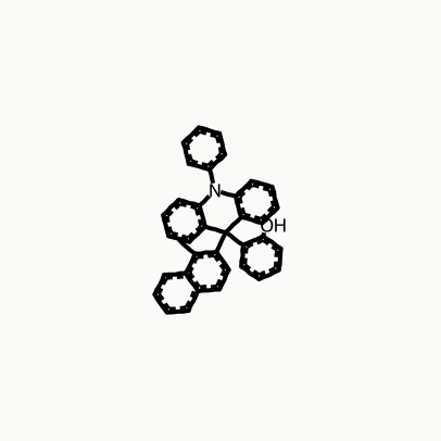 Cc1c(C2(c3ccccc3O)c3ccccc3N(c3ccccc3)c3ccccc32)ccc2ccccc12